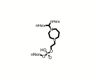 CCCCCCCCCOP(=O)(O)OCCN1CCCN(C(CCCCCC)CCCCCC)CC1